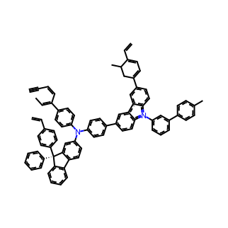 C#C/C=C\C(=C/C)c1ccc(N(c2ccc(-c3ccc4c(c3)c3cc(C5=CC=C(C=C)C(C)C5)ccc3n4-c3cccc(-c4ccc(C)cc4)c3)cc2)c2ccc3c(c2)[C@](c2ccccc2)(c2ccc(C=C)cc2)c2ccccc2-3)cc1